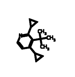 CC(C)(C)c1c(C2CC2)ccnc1C1CC1